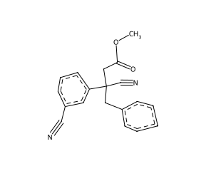 COC(=O)CC(C#N)(Cc1ccccc1)c1cccc(C#N)c1